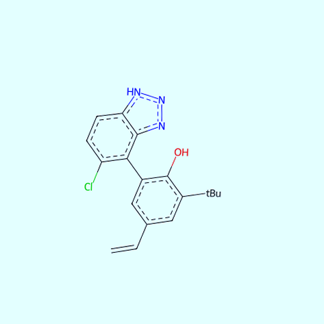 C=Cc1cc(-c2c(Cl)ccc3[nH]nnc23)c(O)c(C(C)(C)C)c1